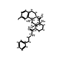 Cc1ccc2c(c1)[C@@H]1C[C@@H]3[C@@H](CCCN3C(=O)NCCc3ccccc3)C(=O)N1CC2